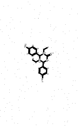 CCN1C(=S)SC(c2ccc(F)cc2)N(CC)C1c1ccc(F)cc1